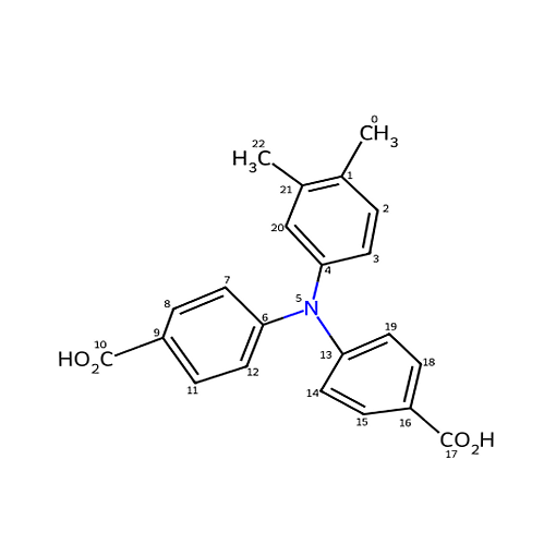 Cc1ccc(N(c2ccc(C(=O)O)cc2)c2ccc(C(=O)O)cc2)cc1C